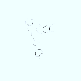 Cc1ccc(-c2cn(CCNc3nonc3C(=NO)Nc3ccc(F)c(Br)c3)nn2)cc1